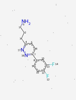 NCCCc1ccc(-c2ccc(F)c(F)c2)nn1